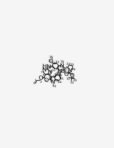 CCCOC(=O)c1cnc(Nc2cc([N+](=O)[O-])c(N(C)C[C@H]3CCCN3C(=O)OC(C)(C)C)cc2OC)nc1-c1cn(C)c2ccccc12